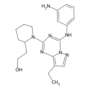 CCc1cnn2c(Nc3cccc(N)c3)nc(N3CCCCC3CCO)nc12